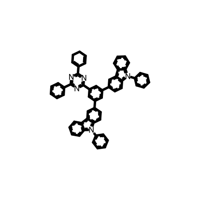 C1=CC(c2nc(-c3ccccc3)nc(-c3cc(-c4ccc5c(c4)c4ccccc4n5-c4ccccc4)cc(-c4ccc5c(c4)c4ccccc4n5-c4ccccc4)c3)n2)=CCC1